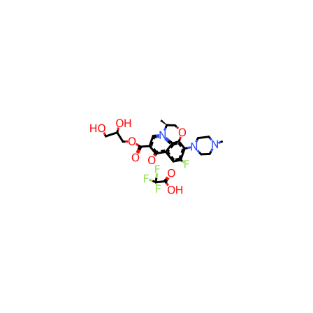 C[C@H]1COc2c(N3CCN(C)CC3)c(F)cc3c(=O)c(C(=O)OCC(O)CO)cn1c23.O=C(O)C(F)(F)F